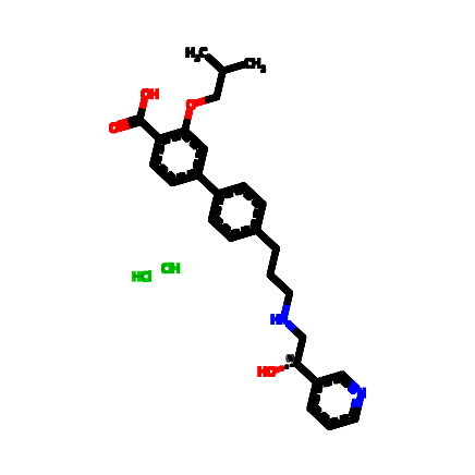 CC(C)COc1cc(-c2ccc(CCCNC[C@@H](O)c3cccnc3)cc2)ccc1C(=O)O.Cl.Cl